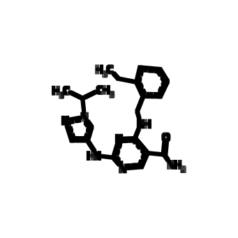 CCc1ccccc1CNc1nc(Nc2cnn(C(C)C)c2)ncc1C(N)=O